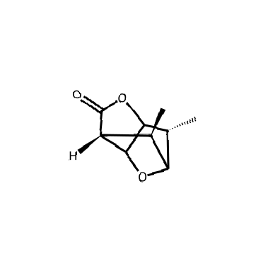 C[C@H]1C2OC(=O)[C@H]3C2OC1[C@@H]3C